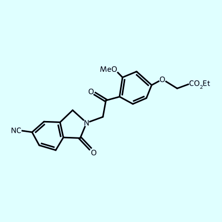 CCOC(=O)COc1ccc(C(=O)CN2Cc3cc(C#N)ccc3C2=O)c(OC)c1